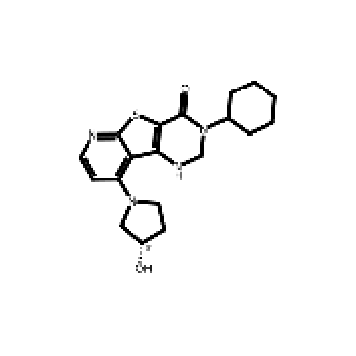 O=C1c2sc3nccc(N4CC[C@H](O)C4)c3c2NCN1C1CCCCC1